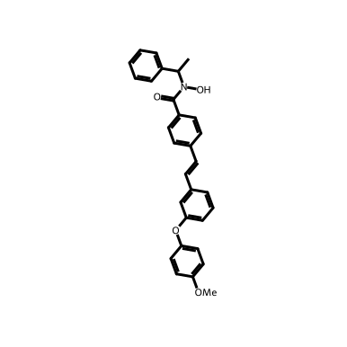 COc1ccc(Oc2cccc(C=Cc3ccc(C(=O)N(O)C(C)c4ccccc4)cc3)c2)cc1